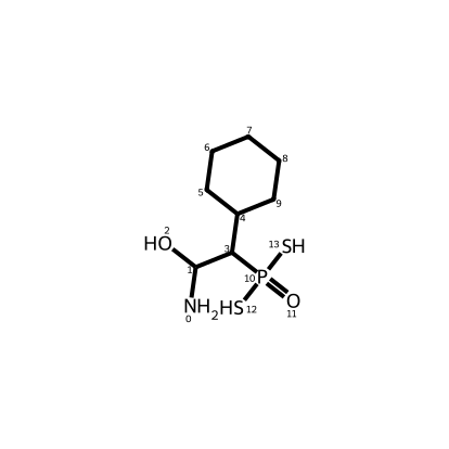 NC(O)C(C1CCCCC1)P(=O)(S)S